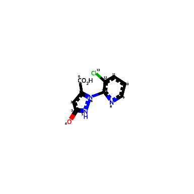 O=C(O)c1cc(=O)[nH]n1-c1ncccc1Cl